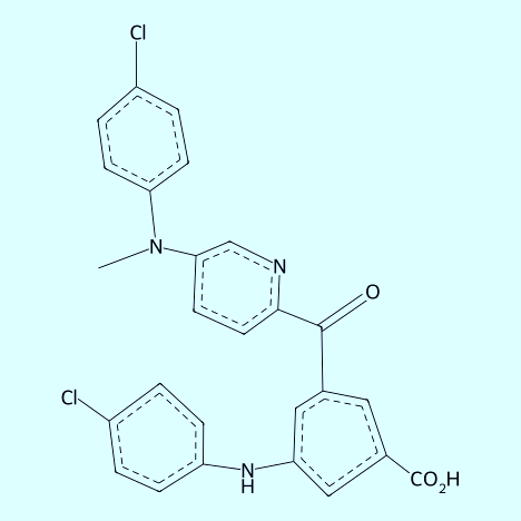 CN(c1ccc(Cl)cc1)c1ccc(C(=O)c2cc(Nc3ccc(Cl)cc3)cc(C(=O)O)c2)nc1